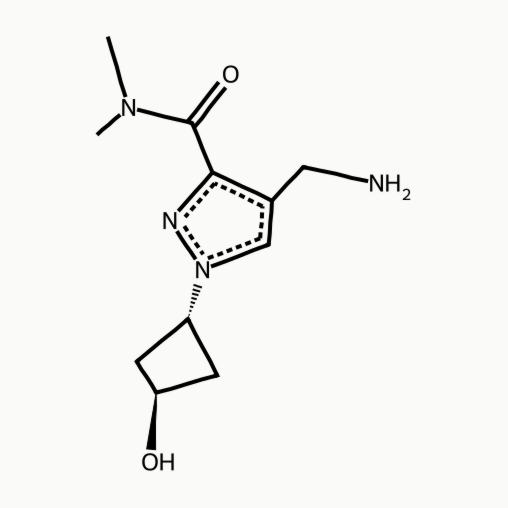 CN(C)C(=O)c1nn([C@H]2C[C@H](O)C2)cc1CN